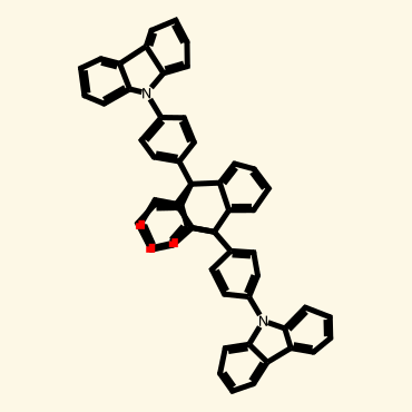 c1ccc2c(c1)C1(c3ccc(-n4c5ccccc5c5ccccc54)cc3)c3ccccc3C2(c2ccc(-n3c4ccccc4c4ccccc43)cc2)c2ccccc21